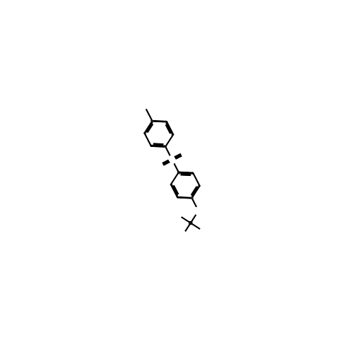 Cc1ccc(S(=O)(=O)c2ccc(OC(F)(F)C(Cl)(Cl)Cl)cc2)cc1